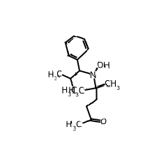 CC(=O)CCC(C)(C)N(O)C(c1ccccc1)C(C)C